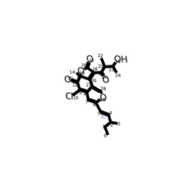 CCC(C)/C=C/C1=CC2=C(Cl)C(=O)C3(C)OC(=O)C(C(=O)C(C)C(C)O)=C3C2=CO1